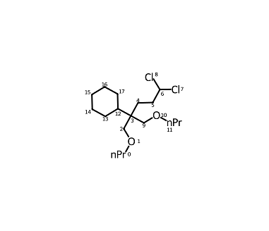 CCCOCC(CCC(Cl)Cl)(COCCC)C1CCCCC1